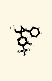 CS(=O)(=O)c1ccc(C2(CO)CC2C2CCCCC2)cc1F